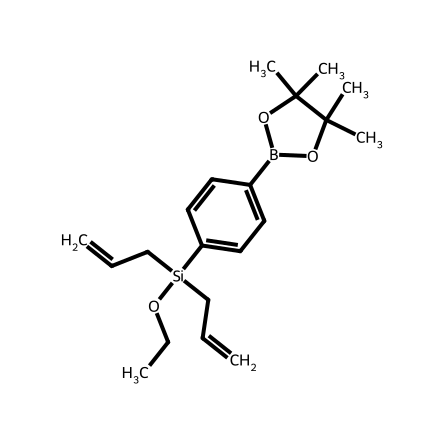 C=CC[Si](CC=C)(OCC)c1ccc(B2OC(C)(C)C(C)(C)O2)cc1